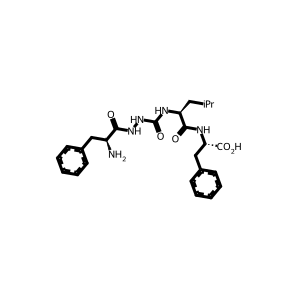 CC(C)C[C@H](NC(=O)NNC(=O)[C@@H](N)Cc1ccccc1)C(=O)N[C@@H](Cc1ccccc1)C(=O)O